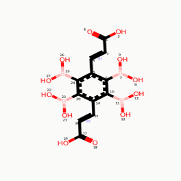 O=C(O)/C=C/c1c(B(O)O)c(B(O)O)c(/C=C/C(=O)O)c(B(O)O)c1B(O)O